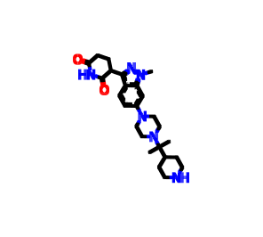 Cn1nc(C2CCC(=O)NC2=O)c2ccc(N3CCN(C(C)(C)C4CCNCC4)CC3)cc21